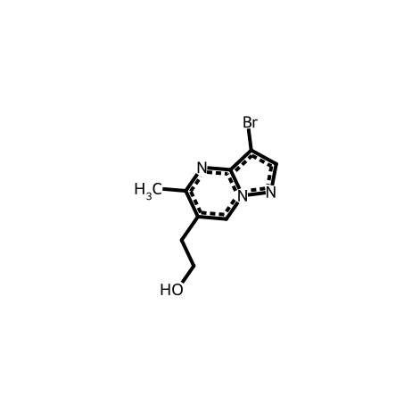 Cc1nc2c(Br)cnn2cc1CCO